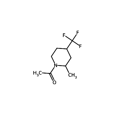 CC(=O)N1CCC(C(F)(F)F)CC1C